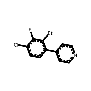 CCc1c(-c2ccncc2)ccc(Cl)c1F